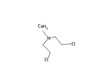 CN(CCCl)CCCl.[CaH2]